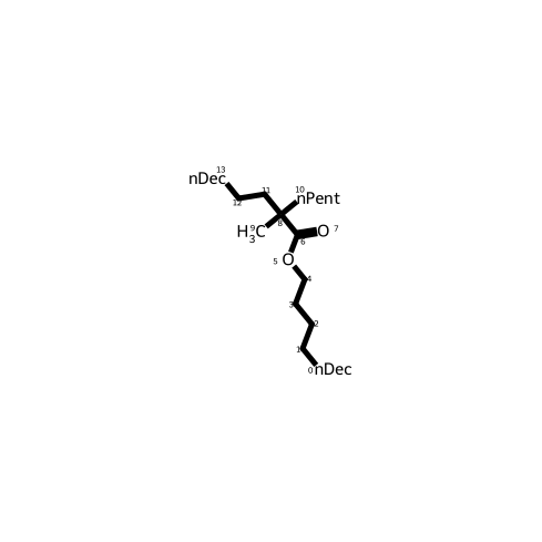 CCCCCCCCCCCCCCOC(=O)C(C)(CCCCC)CCCCCCCCCCCC